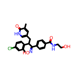 Cc1cc(Cl)ccc1C(Cc1c[nH]c(=O)c(C)c1)/C(=N\O)c1ccc(C(=O)NCCO)cc1